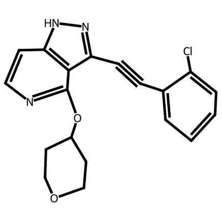 Clc1ccccc1C#Cc1n[nH]c2ccnc(OC3CCOCC3)c12